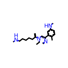 C=N/C(=C\N(CC)C(=C)CCCCCNC)c1cc(NC)ccc1C